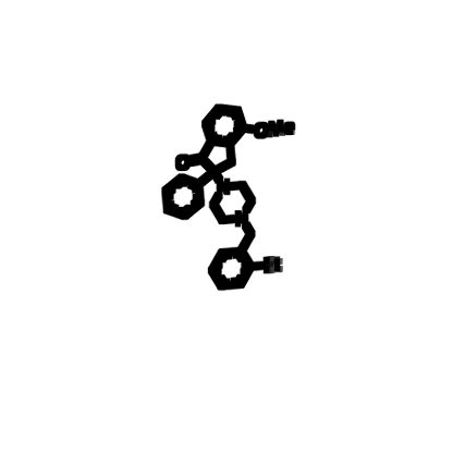 CCc1ccccc1CN1CCN(C2(c3ccccc3)Cc3c(OC)cccc3C2=O)CC1